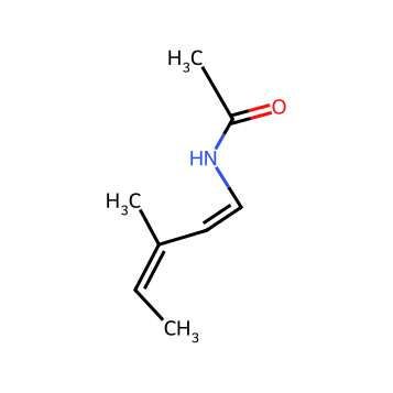 C/C=C(C)\C=C/NC(C)=O